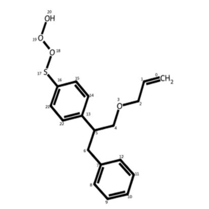 C=CCOCC(Cc1ccccc1)c1ccc(SOOO)cc1